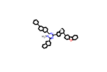 C=N/C(=N\C(=N/Cc1ccc2cc(-c3ccccc3)ccc2c1)c1ccc2c(-c3ccc4oc5ccccc5c4c3)cccc2c1)c1ccc2ccccc2c1